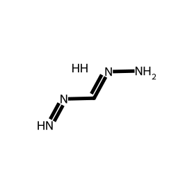 N=NC=NN.[HH]